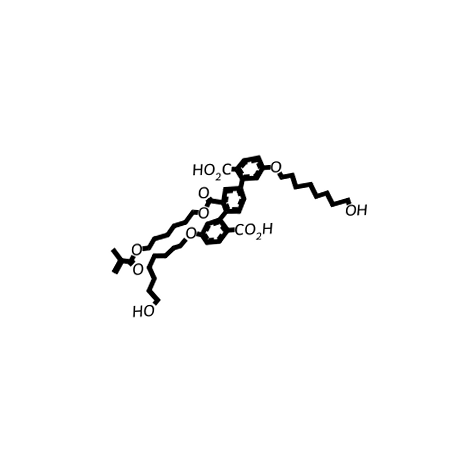 C=C(C)C(=O)OCCCCCCOC(=O)c1cc(-c2cc(OCCCCCCCCO)ccc2C(=O)O)ccc1-c1cc(OCCCCCCCCO)ccc1C(=O)O